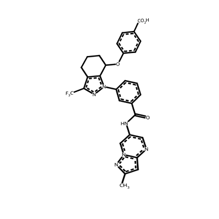 Cc1cc2ncc(NC(=O)c3cccc(-n4nc(C(F)(F)F)c5c4C(Oc4ccc(C(=O)O)cc4)CCC5)c3)cn2n1